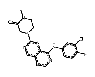 CN1CCN(c2ncc3ncnc(Nc4ccc(F)c(Cl)c4)c3n2)CC1=O